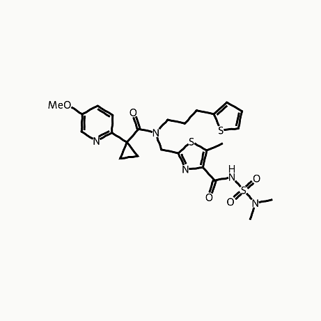 COc1ccc(C2(C(=O)N(CCCc3cccs3)Cc3nc(C(=O)NS(=O)(=O)N(C)C)c(C)s3)CC2)nc1